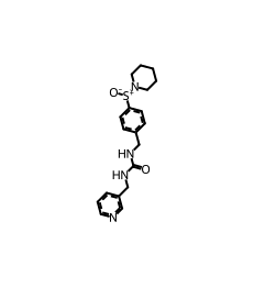 O=C(NCc1ccc([S+]([O-])N2CCCCC2)cc1)NCc1cccnc1